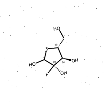 OC[C@H]1SC(O)[C@](O)(F)[C@@H]1O